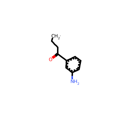 [CH2]CCC(=O)c1cccc(N)c1